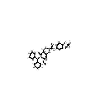 O=C(Oc1ccc(OC(F)(F)F)cc1)N1CCc2c(nc(CF)n(C(c3ccccc3)c3ccccc3)c2=O)C1